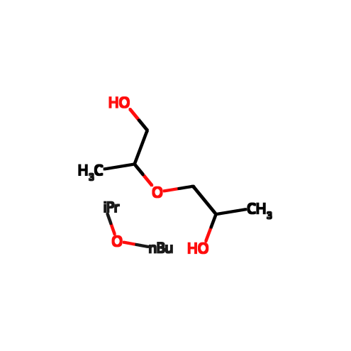 CC(O)COC(C)CO.CCCCOC(C)C